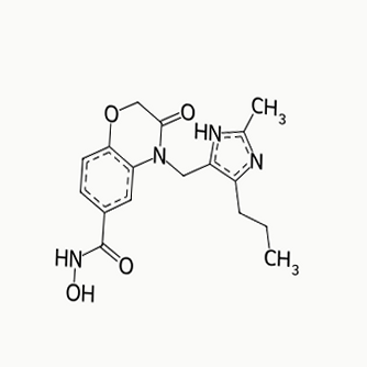 CCCc1nc(C)[nH]c1CN1C(=O)COc2ccc(C(=O)NO)cc21